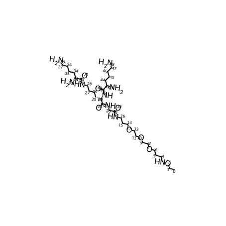 CCONCCCOCCOCCOCCCNC(=O)CNC(=O)[C@H](CCCCNC(=O)[C@@H](N)CCCCN)NC(=O)C(N)CCCCN